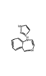 C1=CNc2ccccc2C=N1.c1c[nH]nn1